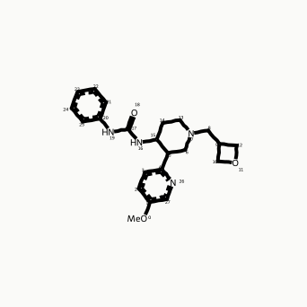 COc1ccc(C2CN(CC3COC3)CCC2NC(=O)Nc2ccccc2)nc1